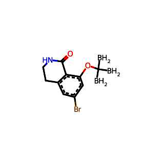 BC(B)(B)Oc1cc(Br)cc2c1C(=O)NCC2